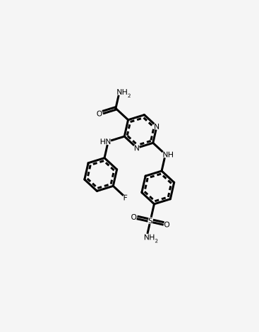 NC(=O)c1cnc(Nc2ccc(S(N)(=O)=O)cc2)nc1Nc1cccc(F)c1